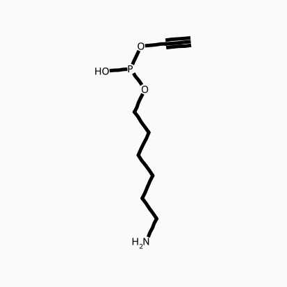 C#COP(O)OCCCCCCN